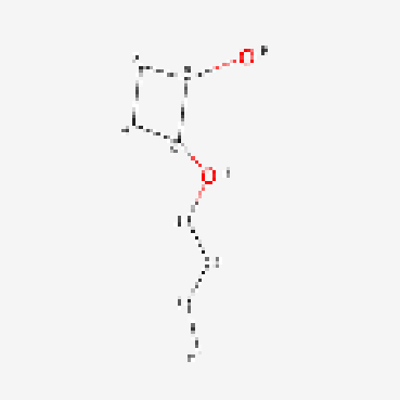 CCCCOC1CCC1[O]